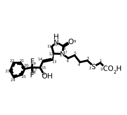 O=C(O)CSCCCCN1C(=O)NC[C@@H]1C=CC(O)C(F)(F)c1ccccc1